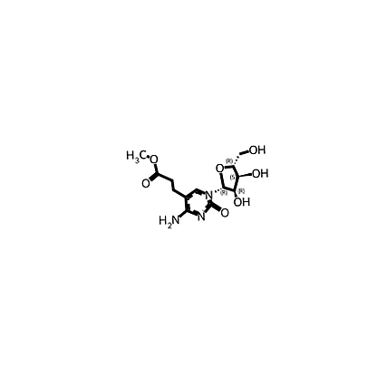 COC(=O)CCc1cn([C@@H]2O[C@H](CO)[C@@H](O)[C@H]2O)c(=O)nc1N